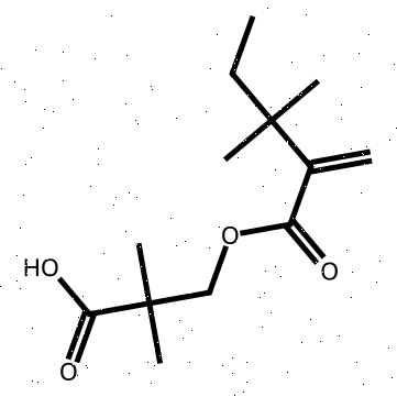 C=C(C(=O)OCC(C)(C)C(=O)O)C(C)(C)CC